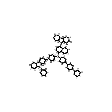 c1ccc(-c2ccc(-c3ccc(N(c4ccc(-c5ccc6c7ccccc7n(-c7ccccc7)c6c5)cc4)c4ccc(-n5c6ccccc6c6ccccc65)c5ccccc45)cc3)cc2)cc1